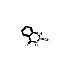 O=C1NN(O)Nc2ccccc21